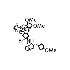 COc1ccc(C[C@@H]2CN3CCC[C@]3(CNc3cc(F)c(S(=O)(=O)N(Cc4ccc(OC)cc4OC)c4nccs4)cc3Br)C2)cc1